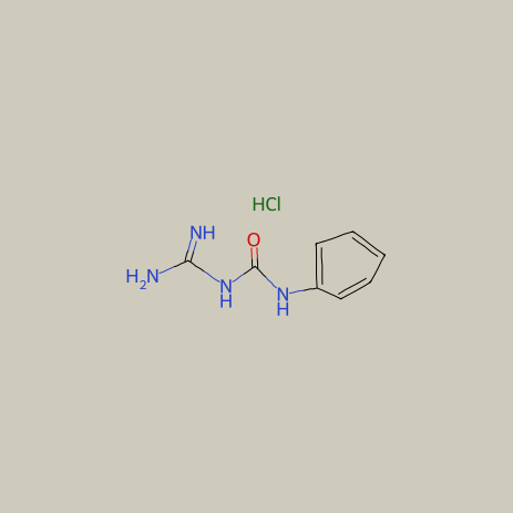 Cl.N=C(N)NC(=O)Nc1ccccc1